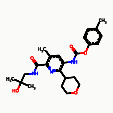 Cc1ccc(OC(=O)Nc2cc(C)c(C(=O)NCC(C)(C)O)nc2C2CCOCC2)cc1